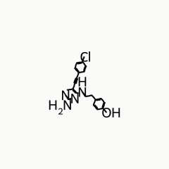 Nc1ncc(C#Cc2ccc(Cl)cc2)c(NCCc2ccc(O)cc2)n1